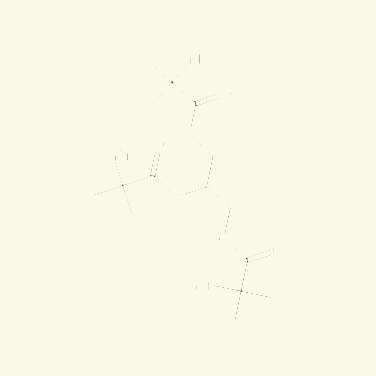 CCCC(C)(C)C(=O)OCC(COC(=O)C(C)(C)CCC)OC(=O)C(C)(C)CCC